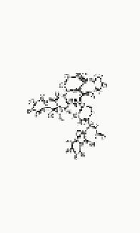 C=C/C=C(/c1ccc(N(c2ccc3c(c2)C(C)(C)c2ccccc2-3)c2cc3ccccc3c3ccccc23)cc1)c1oc2ccccc2c1C